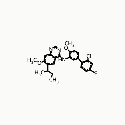 CCC(C)c1cc2c(Nc3cc(-c4ccc(F)cc4Cl)ccc3OC)ncnc2cc1OC